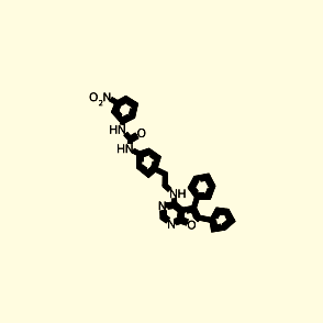 O=C(Nc1ccc(CCNc2ncnc3oc(-c4ccccc4)c(-c4ccccc4)c23)cc1)Nc1cccc([N+](=O)[O-])c1